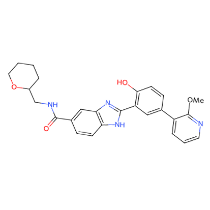 COc1ncccc1-c1ccc(O)c(-c2nc3cc(C(=O)NCC4CCCCO4)ccc3[nH]2)c1